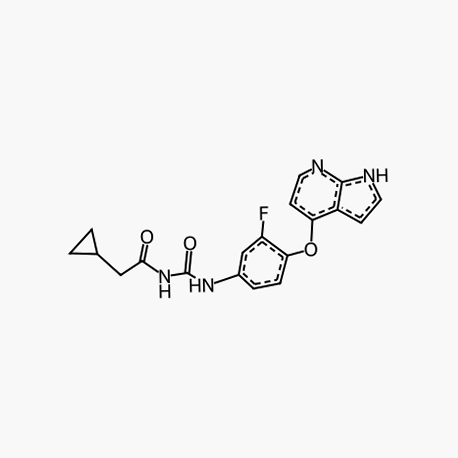 O=C(CC1CC1)NC(=O)Nc1ccc(Oc2ccnc3[nH]ccc23)c(F)c1